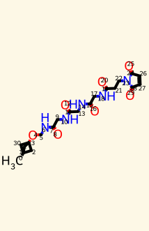 CC12CC(OCNC(=O)CNC(=O)CNC(=O)CNC(=O)CCN3C(=O)C=CC3=O)(C1)C2